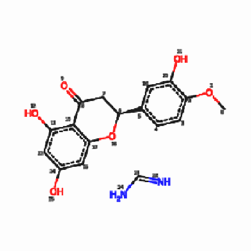 COc1ccc([C@@H]2CC(=O)c3c(O)cc(O)cc3O2)cc1O.N=CN